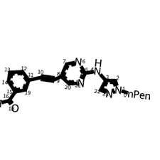 CCCCCn1cc(Nc2ncc(C#Cc3cccc(C(N)=O)c3)cn2)cn1